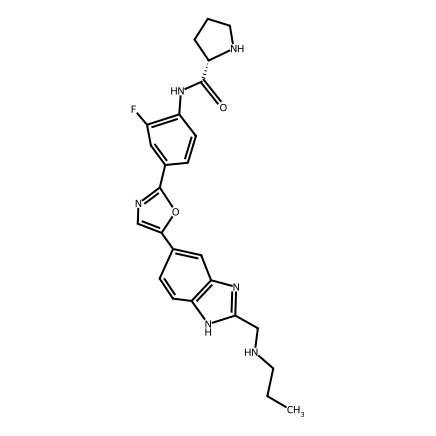 CCCNCc1nc2cc(-c3cnc(-c4ccc(NC(=O)[C@@H]5CCCN5)c(F)c4)o3)ccc2[nH]1